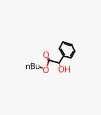 CCCCOC(=O)[C@@H](O)c1ccccc1